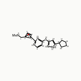 CNCC12CC(C1)N(c1nccc(Sc3cc(C4CCCC4)[nH]n3)n1)C2